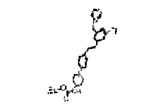 CC(C)(C)OC(=O)NC1CCN(c2ccc(C=Cc3cc(Cl)cc(Cn4ccnc4)c3)cc2)CC1